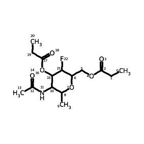 CCC(=O)OCC1OC(C)C(NC(C)=O)C(OC(=O)CC)C1F